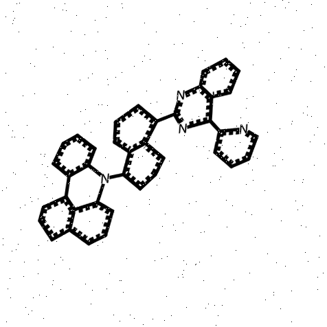 c1ccc(-c2nc(-c3cccc4c(N5c6ccccc6-c6cccc7cccc5c67)cccc34)nc3ccccc23)nc1